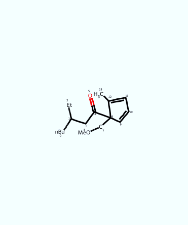 CCCCC(CC)CC(=O)C1(COC)C=CC=C1C